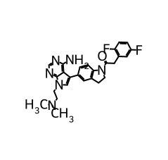 CN(C)CCn1cc(-c2ccc3c(c2)CCN3C(=O)Cc2cc(F)ccc2F)c2c(N)ncnc21